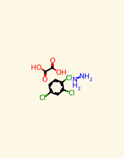 Clc1ccc(Cl)c(Cl)c1.NN.O=C(O)C(=O)O